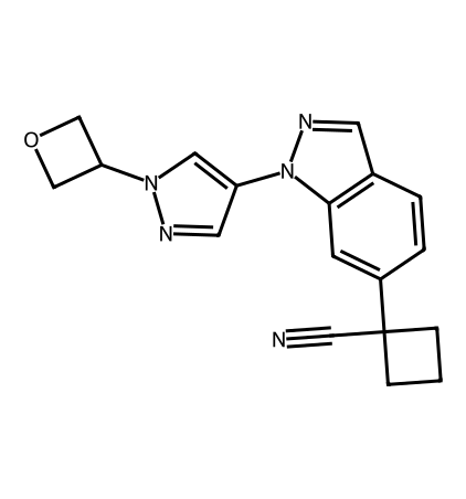 N#CC1(c2ccc3cnn(-c4cnn(C5COC5)c4)c3c2)CCC1